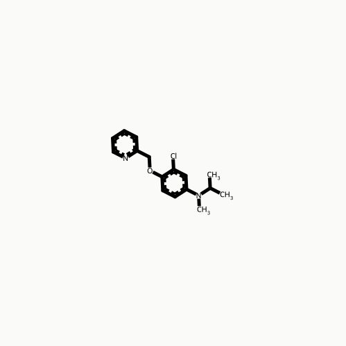 CC(C)N(C)c1ccc(OCc2ccccn2)c(Cl)c1